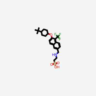 CC(C)(C)C1CCC(Oc2ccc3cc(CNCCS(=O)(=O)O)ccc3c2C(F)(F)F)CC1